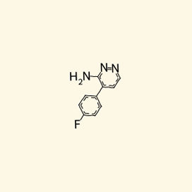 Nc1nnccc1-c1ccc(F)cc1